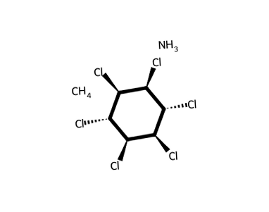 C.Cl[C@H]1[C@H](Cl)[C@@H](Cl)[C@@H](Cl)[C@H](Cl)[C@H]1Cl.N